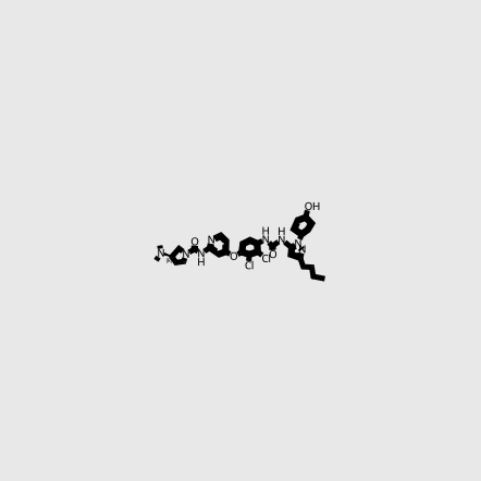 CCCCc1cc(NC(=O)Nc2ccc(Oc3ccnc(NC(=O)N4CC[C@@H](N(C)C)C4)c3)c(Cl)c2Cl)n(-c2ccc(O)cc2)n1